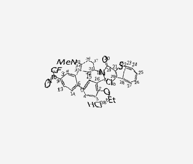 CCOc1ccc(-c2ccc(C(=O)C(F)(F)F)cc2)cc1CN(C(=O)c1sc2ccccc2c1Cl)C1CCC(NC)CC1.Cl